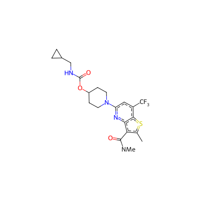 CNC(=O)c1c(C)sc2c(C(F)(F)F)cc(N3CCC(OC(=O)NCC4CC4)CC3)nc12